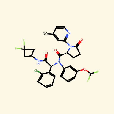 N#Cc1ccnc(N2C(=O)CC[C@H]2C(=O)N(c2cccc(OC(F)F)c2)[C@H](C(=O)NC2CC(F)(F)C2)c2ccccc2Cl)c1